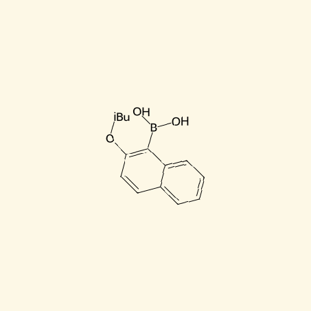 CCC(C)Oc1ccc2ccccc2c1B(O)O